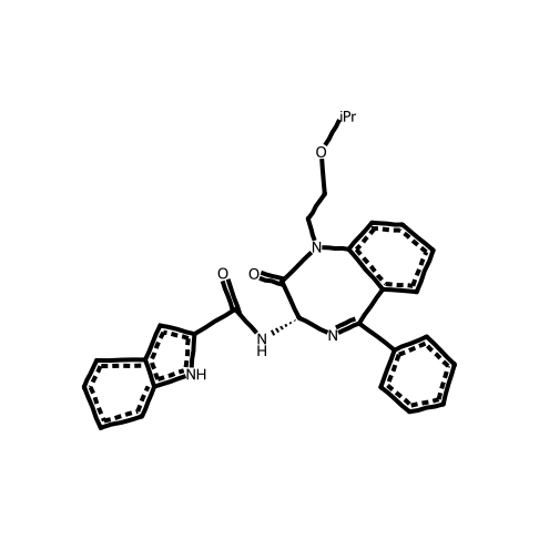 CC(C)OCCN1C(=O)[C@@H](NC(=O)c2cc3ccccc3[nH]2)N=C(c2ccccc2)c2ccccc21